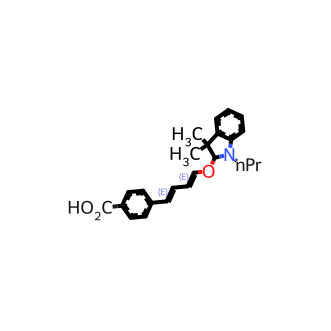 CCCN1c2ccccc2C(C)(C)C1O/C=C/C=C/c1ccc(C(=O)O)cc1